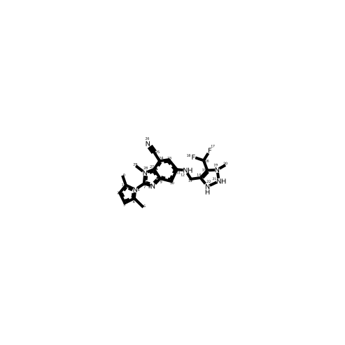 Cc1ccc(C)n1-c1nc2cc(NCC3=C(C(F)F)N(C)NN3)cc(C#N)c2n1C